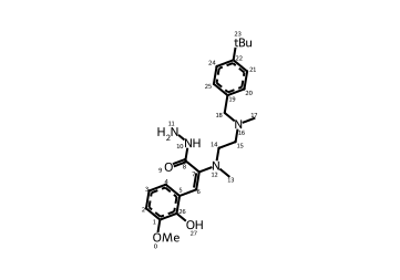 COc1cccc(/C=C(\C(=O)NN)N(C)CCN(C)Cc2ccc(C(C)(C)C)cc2)c1O